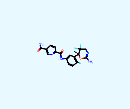 C[C@]1(c2cc(NC(=O)c3ccc(C(N)=O)cn3)ccc2F)OC(N)=NCC1(F)F